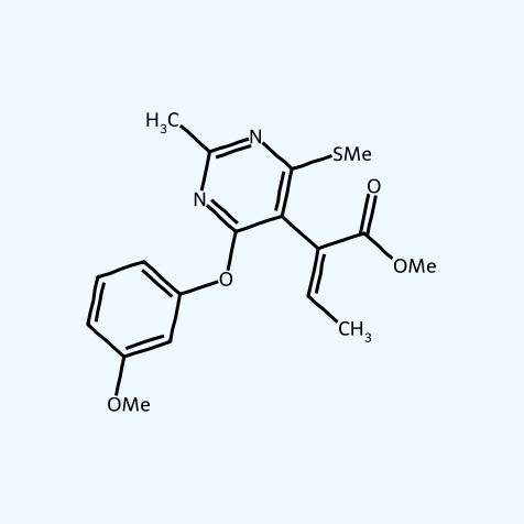 CC=C(C(=O)OC)c1c(Oc2cccc(OC)c2)nc(C)nc1SC